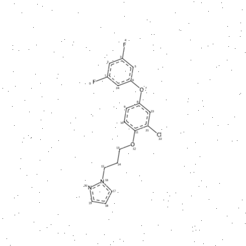 Fc1cc(F)cc(Oc2ccc(OCCCn3cccn3)c(Cl)c2)c1